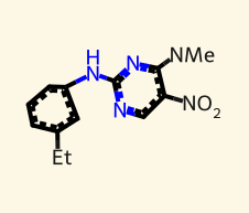 CCc1cccc(Nc2ncc([N+](=O)[O-])c(NC)n2)c1